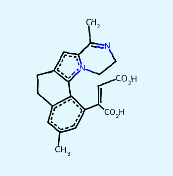 CC1=NCCn2c1cc1c2-c2c(cc(C)cc2C(=CC(=O)O)C(=O)O)CC1